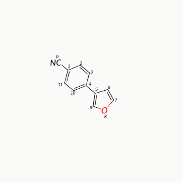 N#Cc1ccc(-c2ccoc2)cc1